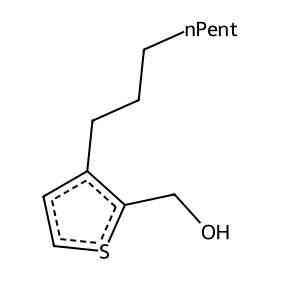 CCCCCCCCc1ccsc1CO